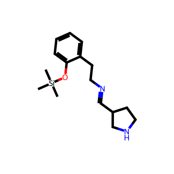 C[Si](C)(C)Oc1ccccc1CCN=CC1CCNC1